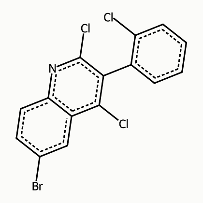 Clc1ccccc1-c1c(Cl)nc2ccc(Br)cc2c1Cl